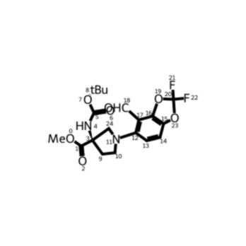 COC(=O)[C@@]1(NC(=O)OC(C)(C)C)CCN(c2ccc3c(c2C=O)OC(F)(F)O3)C1